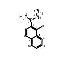 Cc1c(P(P)PP)ccc2ccccc12